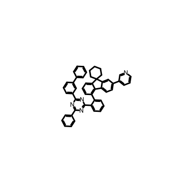 c1ccc(-c2cccc(-c3nc(-c4ccccc4)nc(-c4ccccc4-c4cccc5c4-c4ccc(-c6cccnc6)cc4C54CCCCC4)n3)c2)cc1